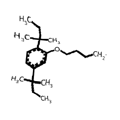 [CH2]CCCOc1cc(C(C)(C)CC)ccc1C(C)(C)CC